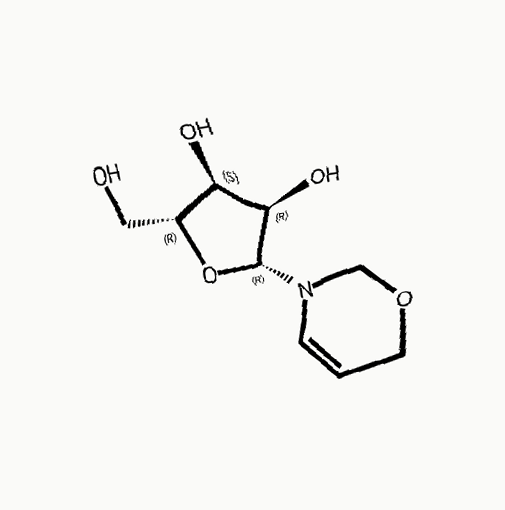 OC[C@H]1O[C@@H](N2C=CCOC2)[C@H](O)[C@@H]1O